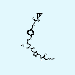 COCC(=O)NCc1cn(CC(=O)NCC(C)SSc2ccc(COC(=O)NN3CC4=C3C4)cc2)nn1